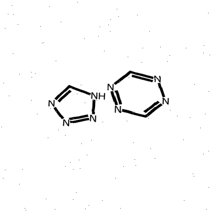 c1nncnn1.c1nnn[nH]1